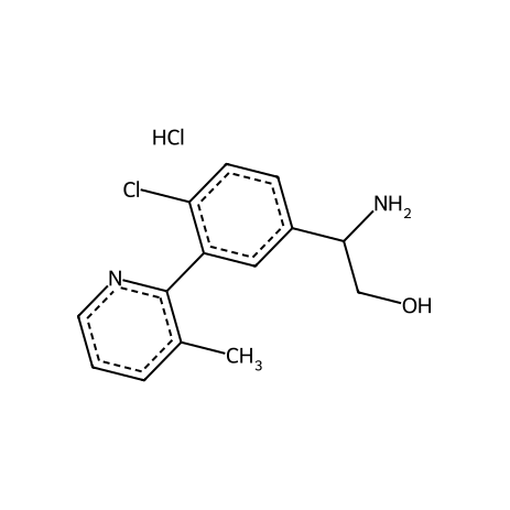 Cc1cccnc1-c1cc(C(N)CO)ccc1Cl.Cl